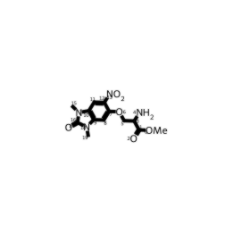 COC(=O)C(N)COc1cc2c(cc1[N+](=O)[O-])n(C)c(=O)n2C